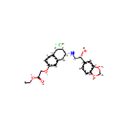 CCOC(=O)COc1ccc2c(c1)C[C@@H](NC[C@@H](O)c1ccc3c(c1)OCO3)CC2.Cl